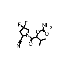 CC(C)C(OC(N)=O)C(=O)N1CC(F)(F)CC1C#N